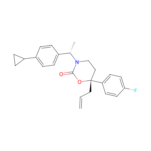 C=CC[C@]1(c2ccc(F)cc2)CCN([C@@H](C)c2ccc(C3CC3)cc2)C(=O)O1